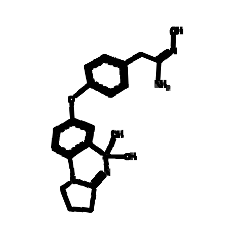 N/C(Cc1ccc(Oc2ccc3c(c2)S(O)(O)N=C2CCCN23)cc1)=N/O